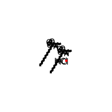 CCCCCCCCCCCCCCCC(CC(CCC)N(C)C)[Si](OC)(OC)OC.CCCCCCCCCCCCCCCC(CC(CCC)N(C)C)[Si](OC)(OC)OC.Cl.Cl